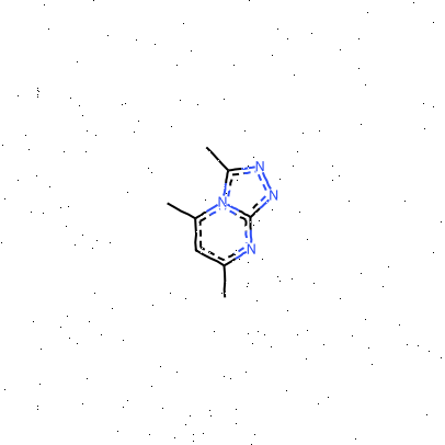 Cc1cc(C)n2c(C)nnc2n1